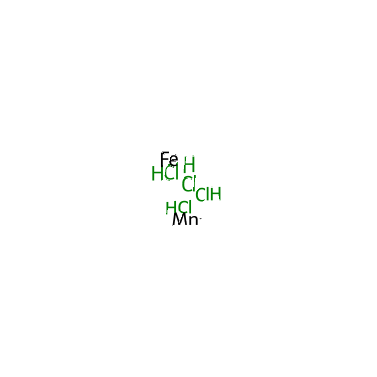 Cl.Cl.Cl.Cl.[Fe].[Mn]